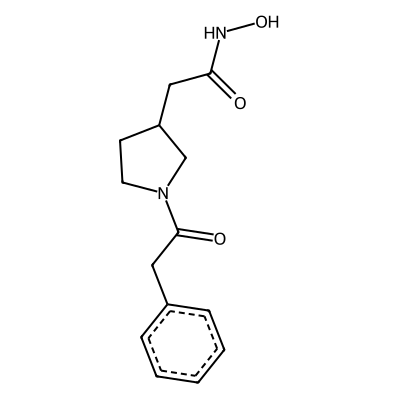 O=C(CC1CCN(C(=O)Cc2ccccc2)C1)NO